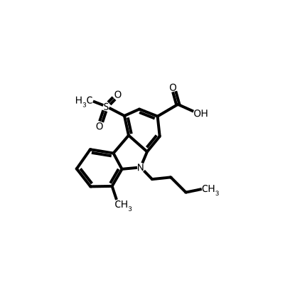 CCCCn1c2cc(C(=O)O)cc(S(C)(=O)=O)c2c2cccc(C)c21